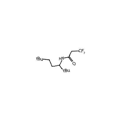 CC(C)(C)CCC(NC(=O)CC(F)(F)F)C(C)(C)C